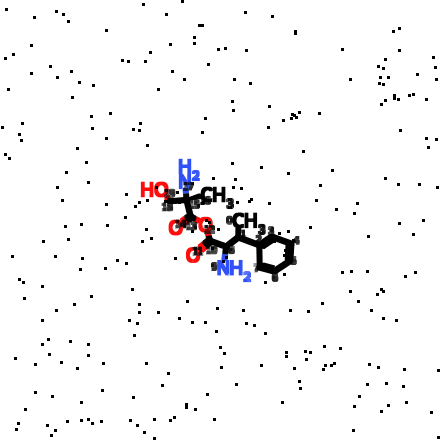 CC(c1ccccc1)C(N)C(=O)OC(=O)[C@@](C)(N)CO